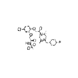 C[C@@H]1CN(Cc2ccc(F)cc2)[C@@H](C)CN1C(=O)COc1ccc(Cl)cc1OCC(=O)NS(C)(=O)=O